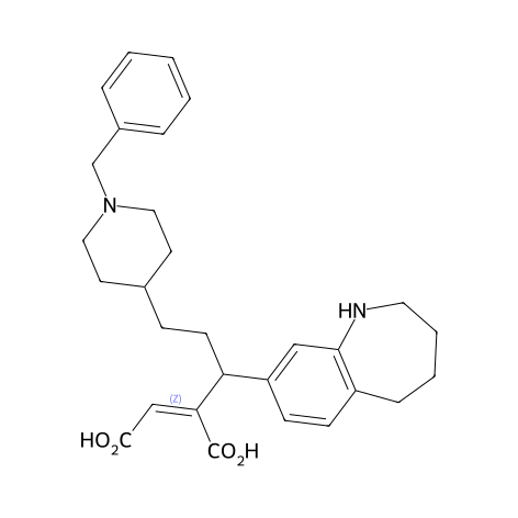 O=C(O)/C=C(\C(=O)O)C(CCC1CCN(Cc2ccccc2)CC1)c1ccc2c(c1)NCCCC2